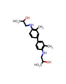 Cc1cc(-c2ccc(NCC(O)S(=O)(=O)O)c(C)c2)ccc1NCC(O)S(=O)(=O)O